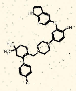 CC1(C)CCC(CN2CCN(c3ccc(C#N)c(Oc4cnc5[nH]ccc5c4)c3)CC2)=C(c2ccc(Cl)cc2)C1